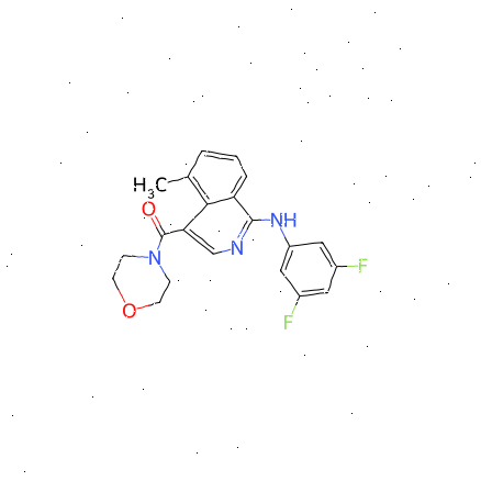 Cc1cccc2c(Nc3cc(F)cc(F)c3)ncc(C(=O)N3CCOCC3)c12